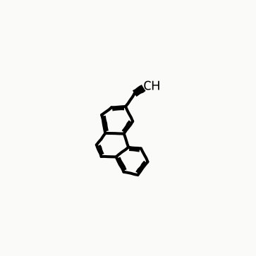 C#Cc1ccc2ccc3ccccc3c2c1